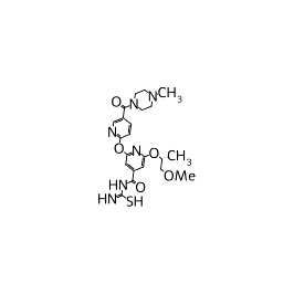 COC[C@@H](C)Oc1cc(C(=O)NC(=N)S)cc(Oc2ccc(C(=O)N3CCN(C)CC3)cn2)n1